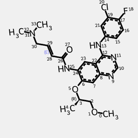 COC[C@@H](C)Oc1cc2ncnc(Nc3ccc(F)c(Cl)c3)c2cc1NC(=O)/C=C/CN(C)C